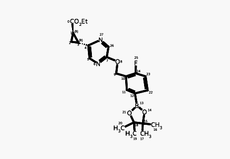 CCOC(=O)[C@@H]1C[C@H]1c1cnc(OCc2cc(B3OC(C)(C)C(C)(C)O3)ccc2F)cn1